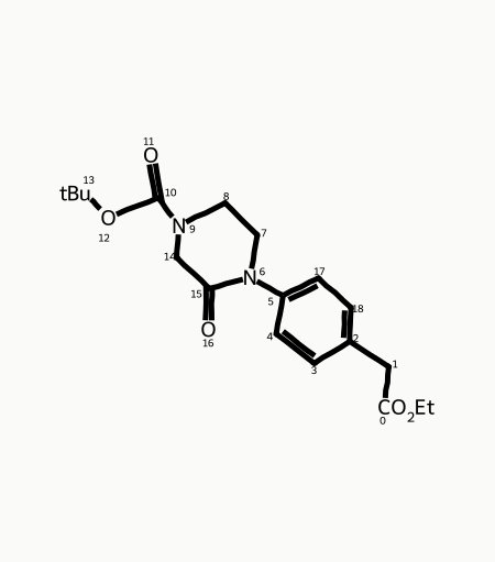 CCOC(=O)Cc1ccc(N2CCN(C(=O)OC(C)(C)C)CC2=O)cc1